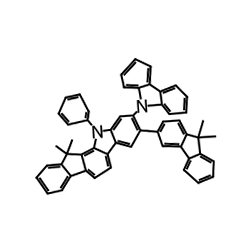 CC1(C)c2ccccc2-c2cc(-c3cc4c5ccc6c(c5n(-c5ccccc5)c4cc3-n3c4ccccc4c4ccccc43)C(C)(C)c3ccccc3-6)ccc21